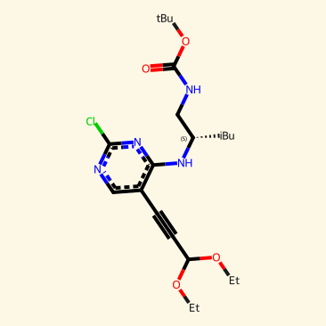 CCOC(C#Cc1cnc(Cl)nc1N[C@H](CNC(=O)OC(C)(C)C)C(C)CC)OCC